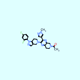 CC(=O)N1CCc2nc(N3CCc4c(cnn4-c4ccc(F)cc4F)C3)c(-c3cnn(C)c3)nc2C1